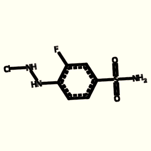 NS(=O)(=O)c1ccc(NNCl)c(F)c1